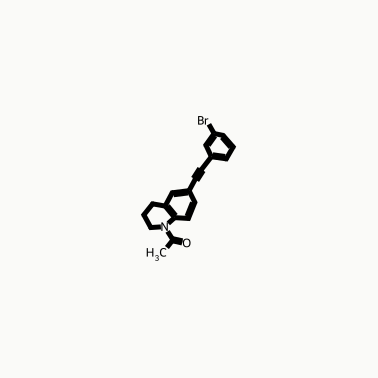 CC(=O)N1CCCc2cc(C#Cc3cccc(Br)c3)ccc21